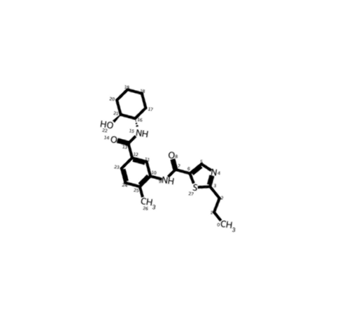 CCCc1ncc(C(=O)Nc2cc(C(=O)N[C@H]3CCCC[C@@H]3O)ccc2C)s1